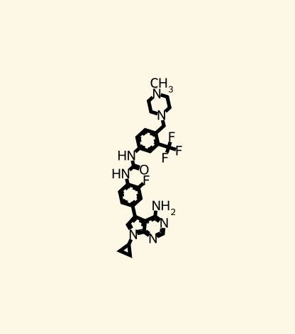 CN1CCN(Cc2ccc(NC(=O)Nc3ccc(-c4cn(C5CC5)c5ncnc(N)c45)cc3F)cc2C(F)(F)F)CC1